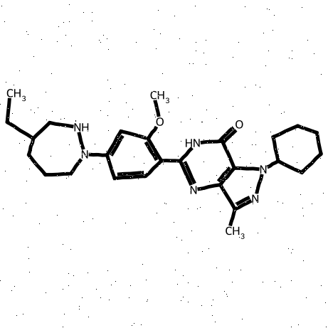 CCC1CCCN(c2ccc(-c3nc4c(C)nn(C5CCCCC5)c4c(=O)[nH]3)c(OC)c2)NC1